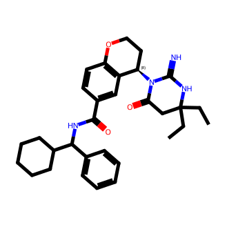 CCC1(CC)CC(=O)N([C@@H]2CCOc3ccc(C(=O)NC(c4ccccc4)C4CCCCC4)cc32)C(=N)N1